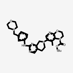 Cc1c(N2CCc3cnc(Nc4cccc(CN5CCOCC5)c4)nc3C2)cnc2c1N(C(=O)OC(C)(C)C)CCO2